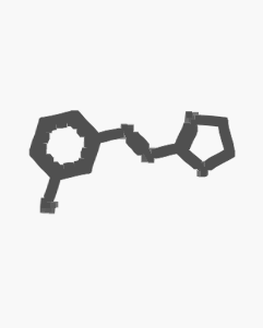 Brc1cccc(N=NC2=NCCS2)c1